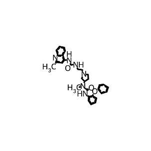 Cc1cc(NC(=O)NCCN2CCC(N(C)C(=O)Nc3ccccc3Oc3ccccc3)C2)c2ccccc2n1